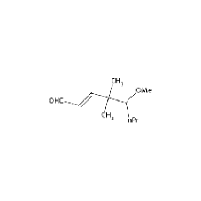 CCCC(OC)C(C)(C)C=CC=O